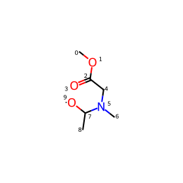 COC(=O)CN(C)C(C)[O]